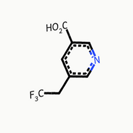 O=C(O)c1cncc(CC(F)(F)F)c1